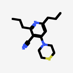 CCCc1cc(N2CCSCC2)c(C#N)c(CCC)n1